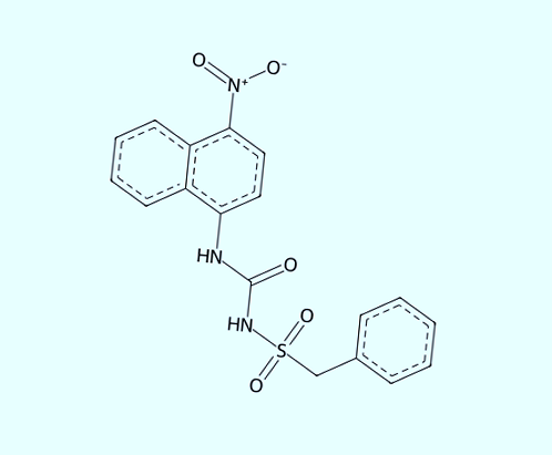 O=C(Nc1ccc([N+](=O)[O-])c2ccccc12)NS(=O)(=O)Cc1ccccc1